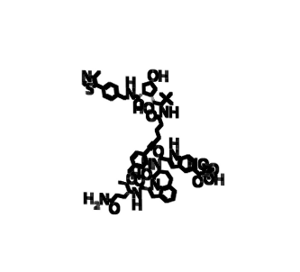 Cc1ncsc1-c1ccc(CNC(=O)[C@@H]2C[C@@H](O)C[C@@H]2C(O)[C@@H](NC(=O)CCCC#Cc2ccc(CO[C@H](C)[C@H](CCC(N)=O)NC(=O)[C@@H]3Cc4cccc5c4N3C(O)[C@@H](NC(=O)c3cc4cc(C(=O)P(=O)(O)O)ccc4[nH]3)CC5)cc2)C(C)(C)C)cc1